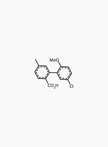 COc1ccc(Cl)cc1-c1cc(C)ccc1C(=O)O